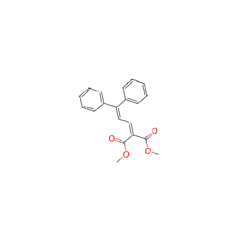 COC(=O)C(=CC=C(c1ccccc1)c1ccccc1)C(=O)OC